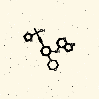 CC(O)(C#Cc1ccc(N2CCOCC2)c(Nc2ccnc3[nH]ccc23)c1)c1nccs1